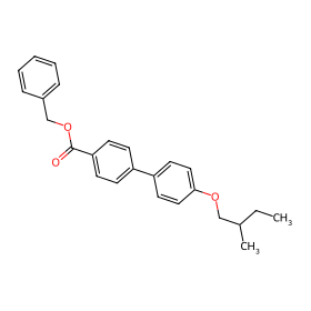 CCC(C)COc1ccc(-c2ccc(C(=O)OCc3ccccc3)cc2)cc1